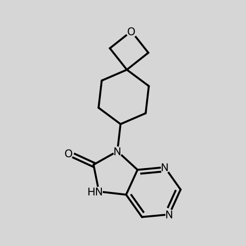 O=c1[nH]c2cncnc2n1C1CCC2(CC1)COC2